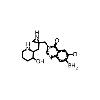 Bc1cc2ncn(CC3(CC4NCCCC4O)CN3)c(=O)c2cc1Cl